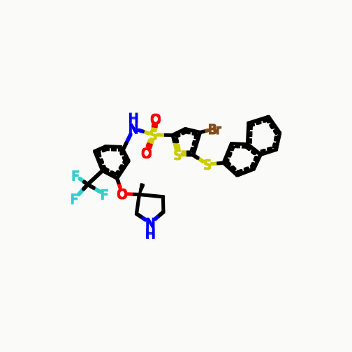 C[C@@]1(Oc2cc(NS(=O)(=O)c3cc(Br)c(Sc4ccc5ccccc5c4)s3)ccc2C(F)(F)F)CCNC1